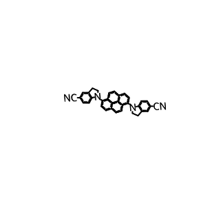 N#Cc1ccc2c(c1)CCN2c1ccc2ccc3c(N4CCc5cc(C#N)ccc54)ccc4ccc1c2c43